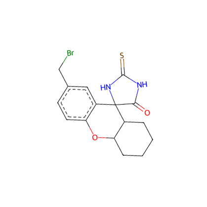 O=C1NC(=S)NC12c1cc(CBr)ccc1OC1CCCCC12